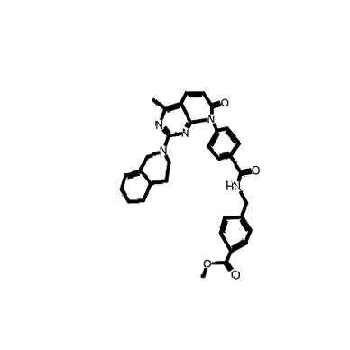 COC(=O)c1ccc(CNC(=O)c2ccc(-n3c(=O)ccc4c(C)nc(N5CCC6CCCC=C6C5)nc43)cc2)cc1